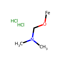 CN(C)C[O][Fe].Cl.Cl